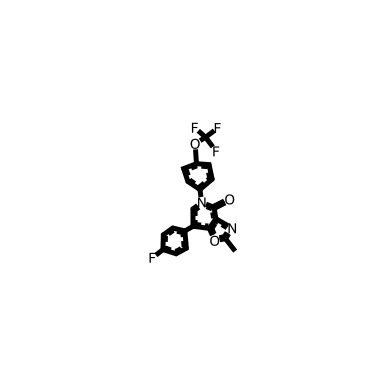 Cc1nc2c(=O)n(-c3ccc(OC(F)(F)F)cc3)cc(-c3ccc(F)cc3)c2o1